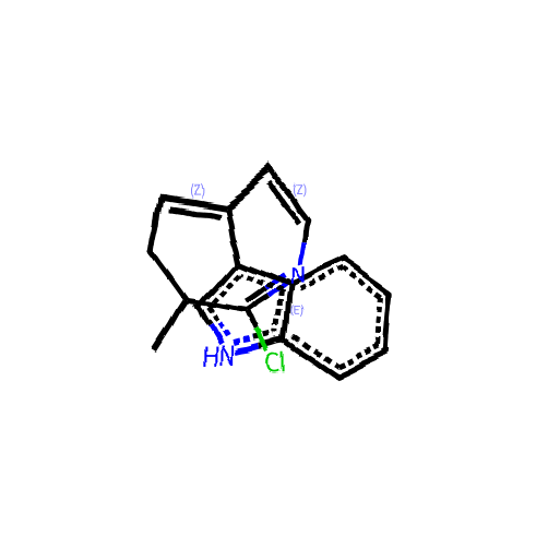 CC1C/C=C(c2c[nH]c3ccccc23)/C=C\N=C/1Cl